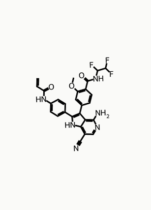 C=CC(=O)Nc1ccc(-c2[nH]c3c(C#N)cnc(N)c3c2-c2ccc(C(=O)NC(F)C(F)F)c(OC)c2)cc1